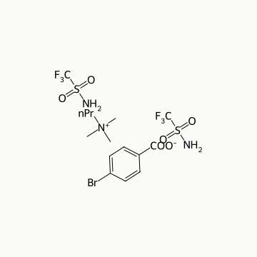 CCC[N+](C)(C)C.NS(=O)(=O)C(F)(F)F.NS(=O)(=O)C(F)(F)F.O=C([O-])c1ccc(Br)cc1